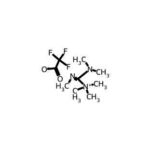 CN=C(N(C)C)[N+](C)(C)C.O=C([O-])C(F)(F)F